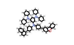 c1ccc(N(c2ccccc2)c2cc(N(c3ccccc3)c3ccccc3)cc(N(c3ccc(-c4ccc5oc6ccccc6c5c4)cc3)c3ccc(-c4cccc5ccccc45)cc3)c2)cc1